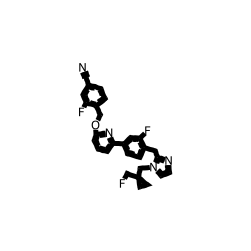 N#Cc1ccc(COc2cccc(-c3ccc(Cc4nccn4CC4(CF)CC4)c(F)c3)n2)c(F)c1